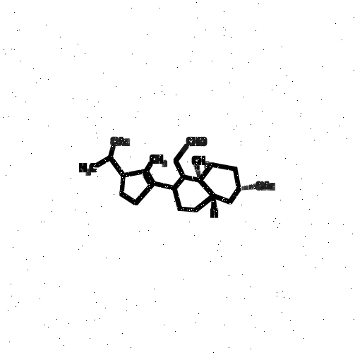 CC(=O)OC(C)C1CCC(C2CC[C@H]3C[C@@H](OC(C)=O)CC[C@]3(C)C2CC=O)=C1C